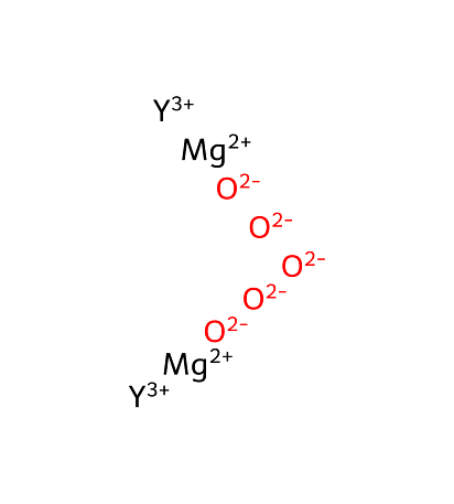 [Mg+2].[Mg+2].[O-2].[O-2].[O-2].[O-2].[O-2].[Y+3].[Y+3]